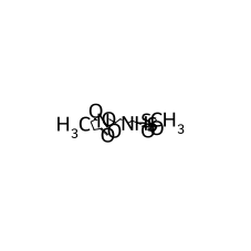 CC1CC(=O)N(OC(=O)CNCCSS(C)(=O)=O)C1=O